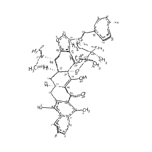 Cc1c2c(c(O)c3ccccc13)C[C@H]1C[C@H]3[C@H](N(C)C)c4onc(OCc5ccccc5)c4C(=O)[C@@]3(O[Si](C)(C)C(C)(C)C)C(O)=C1C2=O